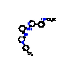 CCOC(=O)Nc1cccc(-c2ccnc(N[C@@H]3CCCC[C@H]3N[C@H]3CCCN(c4ccc(C(F)(F)F)cc4)C3)c2)c1